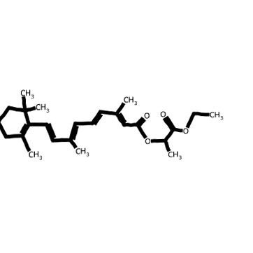 CCOC(=O)C(C)OC(=O)C=C(C)C=CC=C(C)C=CC1=C(C)CCCC1(C)C